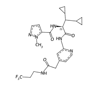 Cn1nccc1C(=O)N[C@H](C(=O)Nc1cc(CC(=O)NCCC(F)(F)F)ccn1)C(C1CC1)C1CC1